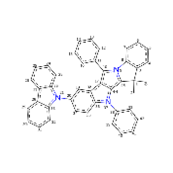 CC1(C)c2ccccc2-n2c(-c3ccccc3)c3c4cc(-n5c6ccccc6c6ccccc65)ccc4n(-c4ccccc4)c3c21